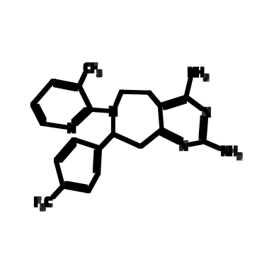 Nc1nc(N)c2c(n1)CC(c1ccc(C(F)(F)F)cc1)N(c1ncccc1C(F)(F)F)CC2